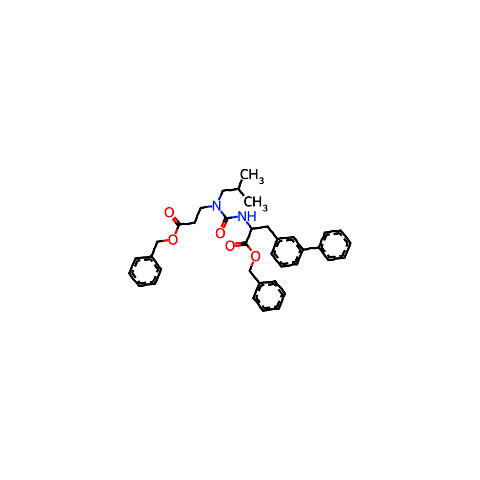 CC(C)CN(CCC(=O)OCc1ccccc1)C(=O)NC(Cc1cccc(-c2ccccc2)c1)C(=O)OCc1ccccc1